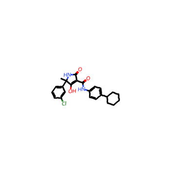 CC1(c2cccc(Cl)c2)NC(=O)C(C(=O)Nc2ccc(C3CCCCC3)cc2)=C1O